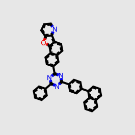 c1ccc(-c2nc(-c3ccc(-c4cccc5ccccc45)cc3)nc(-c3ccc4c(ccc5c6ncccc6oc45)c3)n2)cc1